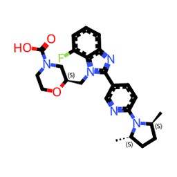 C[C@H]1CC[C@H](C)N1c1ccc(-c2nc3cccc(F)c3n2C[C@@H]2CN(C(=O)O)CCO2)cn1